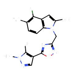 CCCc1cc2c(Cl)c(C#N)ccc2n1Cc1noc(-c2cnn(C)c2C(F)(F)F)n1